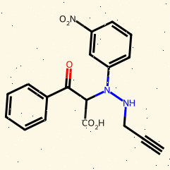 C#CCNN(c1cccc([N+](=O)[O-])c1)C(C(=O)O)C(=O)c1ccccc1